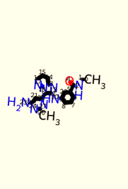 CCNC(=O)c1cccc(Nc2nc3cccnn3c2-c2cc(N)nc(C)n2)c1